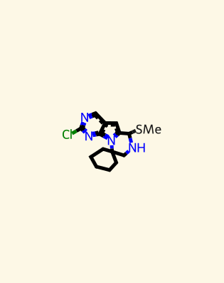 CSC1NCC2(CCCCC2)n2c1cc1cnc(Cl)nc12